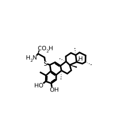 Cc1c(O)c(O)cc2c1C(SC[C@@H](N)C(=O)O)C=C1[C@@]2(C)CC[C@@]2(C)[C@@H]3C[C@@H](C)CC[C@]3(C)CC[C@]12C